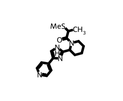 CSC(C)C(=O)N1CCCCC1c1nc(-c2ccncc2)c[nH]1